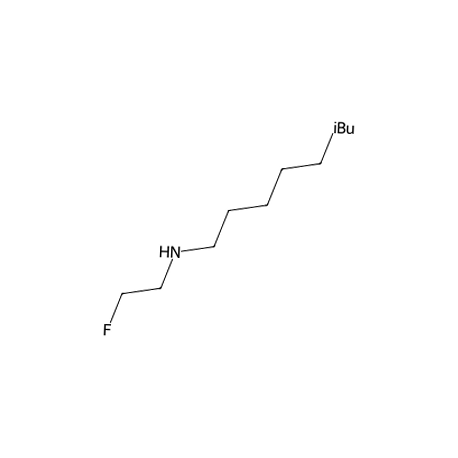 CCC(C)CCCCCNCCF